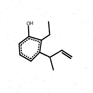 C=C[C](C)c1cccc(O)c1CC